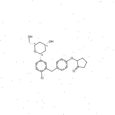 O=C1CCCC1Oc1ccc(Cc2cc([C@H]3C[C@@H](O)C[C@@H](CO)O3)ccc2Cl)cc1